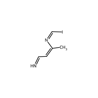 CC(=C/C=N)/N=C\I